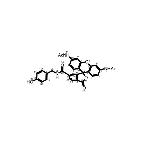 CC(=O)Nc1ccc2c(c1)Oc1cc(NC(C)=O)ccc1C21OC(=O)c2ccc(C(=O)NCc3ccc(O)cc3)cc21